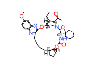 CC[C@@H]1[C@@H]2CN(C(=O)[C@H](C3(C)CCCCC3)NC(=O)O[C@@H]3CCC[C@H]3CCCCCc3nc4ccc(OC)cc4nc3O2)[C@@H]1C(C)=O